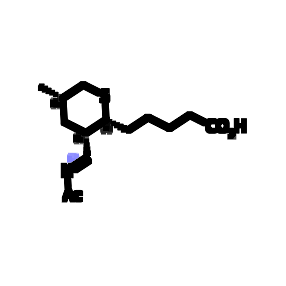 CC(=O)/N=C/[C@@H]1C[C@H](C)CS[C@@H]1CCCCC(=O)O